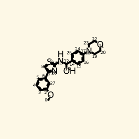 COc1cccc(-c2csc(NC(O)c3ccc(N4CCOCC4)cc3)n2)c1